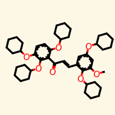 COc1cc(OC2CCCCC2)cc(C=CC(=O)c2c(OC3CCCCC3)ccc(OC3CCCCC3)c2OC2CCCCC2)c1OC1CCCCC1